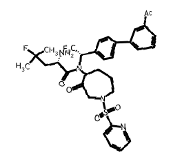 CC(=O)c1cccc(-c2ccc([C@H](N(C(=O)[C@@H](N)CC(C)(C)F)C3CCCN(S(=O)(=O)c4ccccn4)CC3=O)C(F)(F)F)cc2)c1